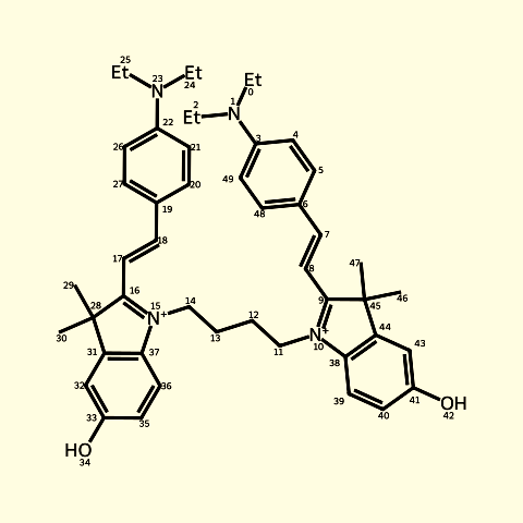 CCN(CC)c1ccc(/C=C/C2=[N+](CCCC[N+]3=C(/C=C/c4ccc(N(CC)CC)cc4)C(C)(C)c4cc(O)ccc43)c3ccc(O)cc3C2(C)C)cc1